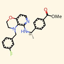 COC(=O)c1ccc([C@H](C)Nc2nccc3c2N(Cc2cccc(F)c2)CCO3)cc1